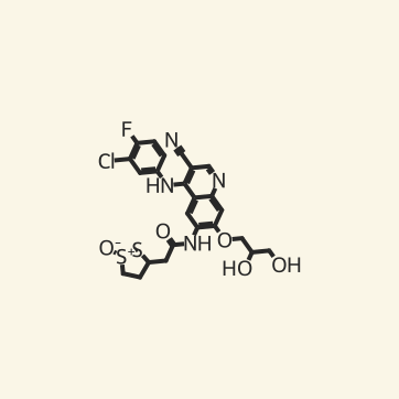 N#Cc1cnc2cc(OCC(O)CO)c(NC(=O)CC3CC[S+]([O-])S3)cc2c1Nc1ccc(F)c(Cl)c1